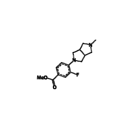 COC(=O)c1ccc(N2CC3CN(C)CC3C2)c(F)c1